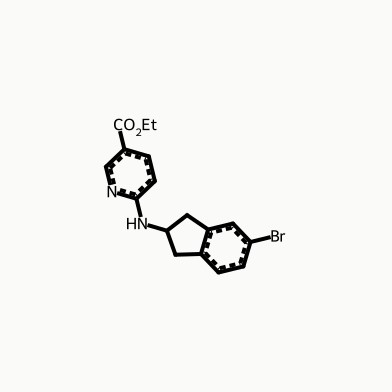 CCOC(=O)c1ccc(NC2Cc3ccc(Br)cc3C2)nc1